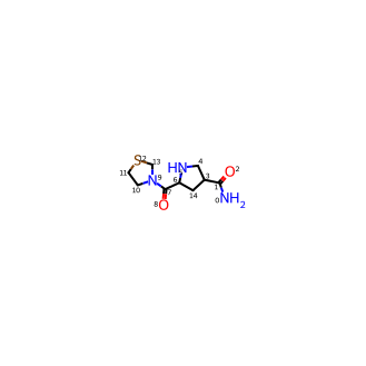 NC(=O)C1CNC(C(=O)N2CCSC2)C1